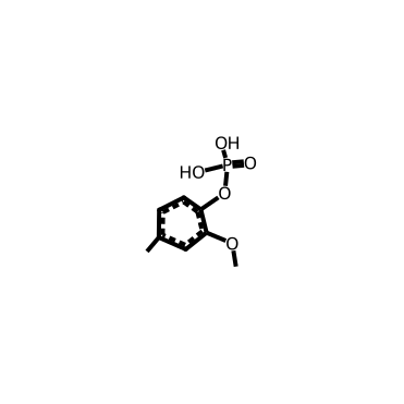 COc1cc(C)ccc1OP(=O)(O)O